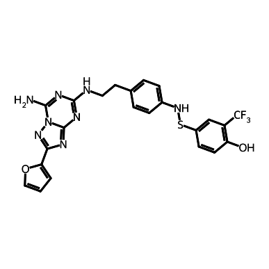 Nc1nc(NCCc2ccc(NSc3ccc(O)c(C(F)(F)F)c3)cc2)nc2nc(-c3ccco3)nn12